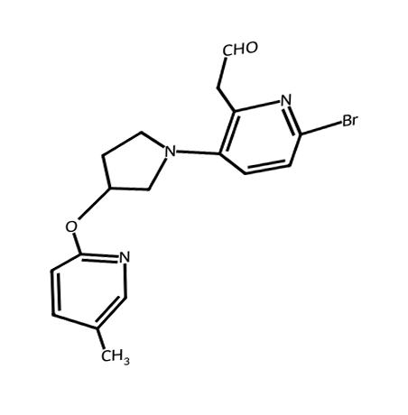 Cc1ccc(OC2CCN(c3ccc(Br)nc3CC=O)C2)nc1